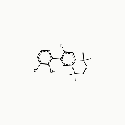 CC1(C)CCC(C)(C)c2cc(-c3cccc(Cl)c3O)c(F)cc21